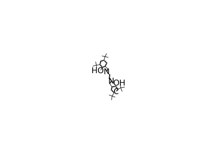 CC(C)(C)c1cc(C=NC=CN=Cc2cc(C(C)(C)C)cc(C(C)(C)C)c2O)c(O)c(C(C)(C)C)c1